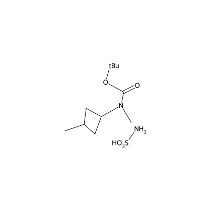 CC1CC(N(C)C(=O)OC(C)(C)C)C1.NS(=O)(=O)O